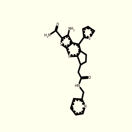 NC(=O)c1sc2nc3c(c(-c4cccs4)c2c1N)CCC3CC(=O)NCc1ccccn1